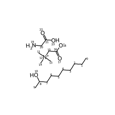 CCCCCCCCC(C)O.C[N+](C)(C)CC(=O)[O-].NCC(=O)O